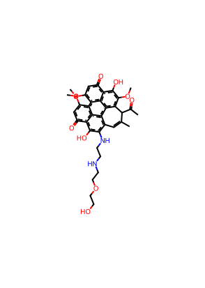 COc1c(O)c2c(=O)cc(OC)c3c4c(OC)cc(=O)c5c(O)c(NCCNCCOCCO)c6c(c(c1C(C(C)=O)C(C)=C6)c23)c54